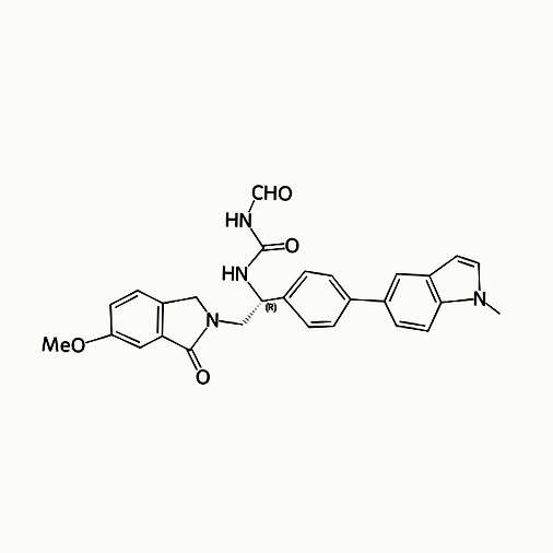 COc1ccc2c(c1)C(=O)N(C[C@H](NC(=O)NC=O)c1ccc(-c3ccc4c(ccn4C)c3)cc1)C2